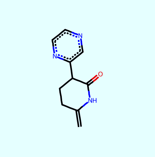 C=C1CCC(c2cnccn2)C(=O)N1